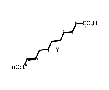 CCCCCCCCC=CCCCCCCCC(=O)O.[Y]